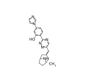 C[C@@]12CCC(C/C(=C\c3cnc(-c4ccc(-n5ccnc5)cc4O)nn3)C1)N2